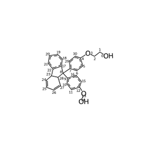 OCCOc1ccc(C2(c3ccc(OO)cc3)c3ccccc3C3C=CC=CC32)cc1